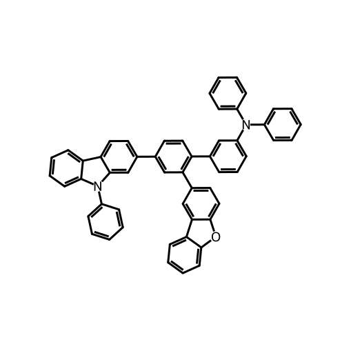 c1ccc(N(c2ccccc2)c2cccc(-c3ccc(-c4ccc5c6ccccc6n(-c6ccccc6)c5c4)cc3-c3ccc4oc5ccccc5c4c3)c2)cc1